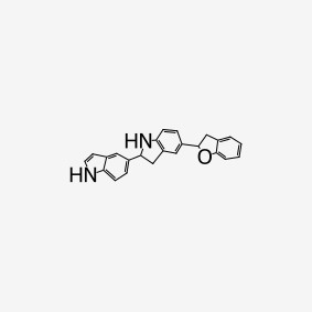 c1ccc2c(c1)CC(c1ccc3c(c1)CC(c1ccc4[nH]ccc4c1)N3)O2